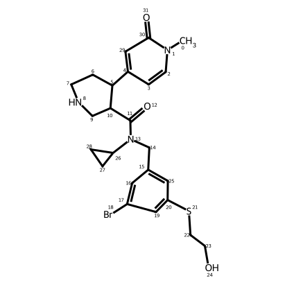 Cn1ccc(C2CCNCC2C(=O)N(Cc2cc(Br)cc(SCCO)c2)C2CC2)cc1=O